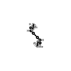 COC(=O)N[C@H](C(=O)N1CCCC1c1nc(-c2ccc(C#Cc3ccc(-c4c[nH]c([C@@H]5CCCN5C(=O)[C@@H](OC(N)=O)C(C)C)n4)cc3)cc2)c[nH]1)C(C)C